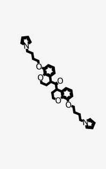 O=C(C1CCOc2c(OCCCCn3cccc3)cccc21)C1CCOc2c(OCCCCn3cccc3)cccc21